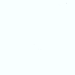 CCCCC(CC)COC(=O)C(CCCCCCCCCC(=O)O)(CC(CC)CCCC)C(C)C